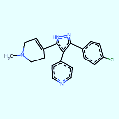 CN1CC=C(c2[nH]nc(-c3ccc(Cl)cc3)c2-c2ccncc2)CC1